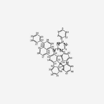 c1ccc(-c2ncnc(N3c4cc5c(cc4-c4cccc6c(-c7ccccc7)ccc3c46)-c3ccccc3C5(c3ccccc3)c3ccccc3)n2)cc1